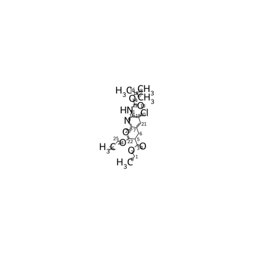 CCOC(=O)C(Cc1cnc(NC(=O)OC(C)(C)C)c(Cl)c1)C(=O)OCC